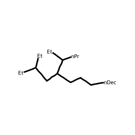 CCCCCCCCCCCCCC(CC(CC)CC)C(CC)CCC